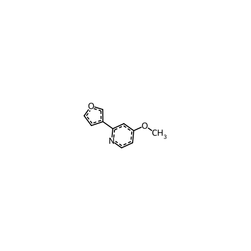 COc1ccnc(-c2ccoc2)c1